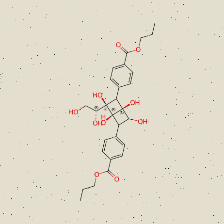 CCCOC(=O)c1ccc(C2C(O)[C@@]3(O)C(c4ccc(C(=O)OCCC)cc4)[C@@](O)([C@H](O)CO)[C@@]23O)cc1